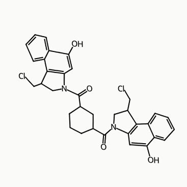 O=C(C1CCCC(C(=O)N2CC(CCl)c3c2cc(O)c2ccccc32)C1)N1CC(CCl)c2c1cc(O)c1ccccc21